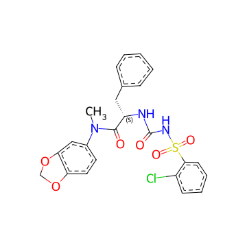 CN(C(=O)[C@H](Cc1ccccc1)NC(=O)NS(=O)(=O)c1ccccc1Cl)c1ccc2c(c1)OCO2